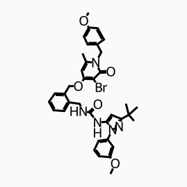 COc1ccc(Cn2c(C)cc(OCc3ccccc3CNC(=O)Nc3cc(C(C)(C)C)nn3-c3cccc(OC)c3)c(Br)c2=O)cc1